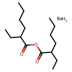 CCCCC(CC)C(=O)OC(=O)C(CC)CCCC.[BaH2]